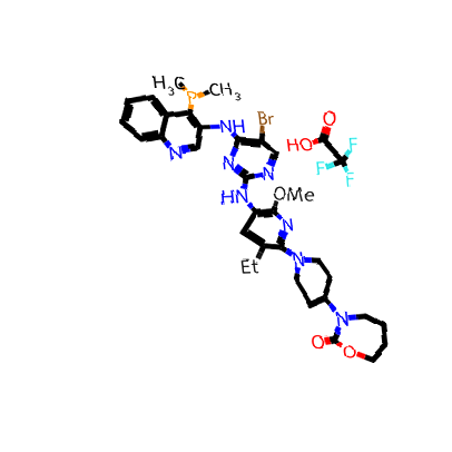 CCc1cc(Nc2ncc(Br)c(Nc3cnc4ccccc4c3P(C)C)n2)c(OC)nc1N1CCC(N2CCCCOC2=O)CC1.O=C(O)C(F)(F)F